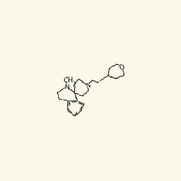 CN1CCc2ccccc2C12CCN(CCC1CCOCC1)CC2